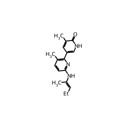 CC/C=C(\C)Nc1ccc(C)c(-c2c[nH]c(=O)c(C)c2)n1